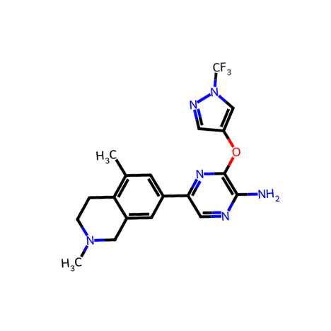 Cc1cc(-c2cnc(N)c(Oc3cnn(C(F)(F)F)c3)n2)cc2c1CCN(C)C2